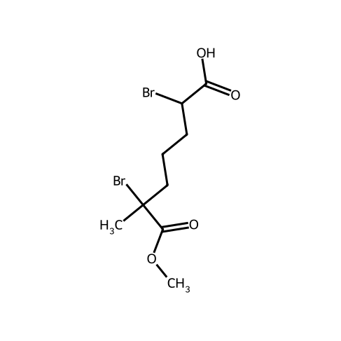 COC(=O)C(C)(Br)CCCC(Br)C(=O)O